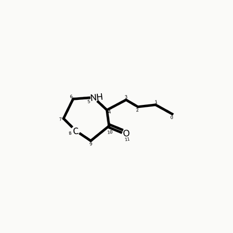 CCCCC1NCCCCC1=O